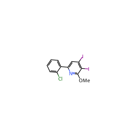 COc1nc(-c2ccccc2Cl)cc(I)c1I